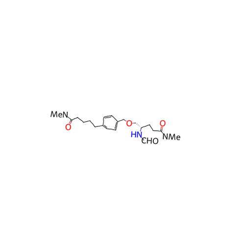 CNC(=O)CCCCc1ccc(COC[C@H](CCC(=O)NC)NC=O)cc1